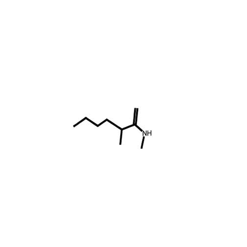 C=C(NC)C(C)CCCC